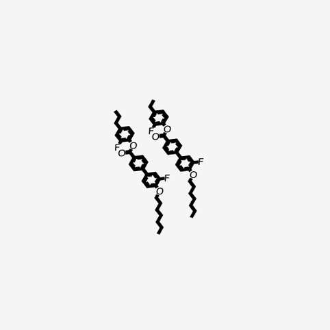 CCCCCCCOc1ccc(-c2ccc(C(=O)Oc3ccc(CC)cc3F)cc2)cc1F.CCCCCCCOc1ccc(-c2ccc(C(=O)Oc3ccc(CCC)cc3F)cc2)cc1F